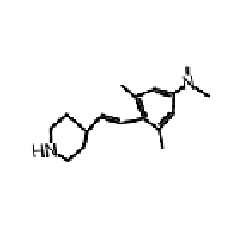 Cc1cc(N(C)C)cc(C)c1C=CC1CCNCC1